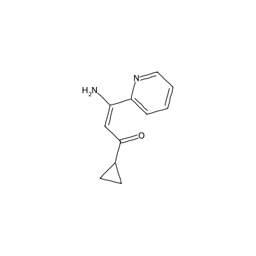 N/C(=C/C(=O)C1CC1)c1ccccn1